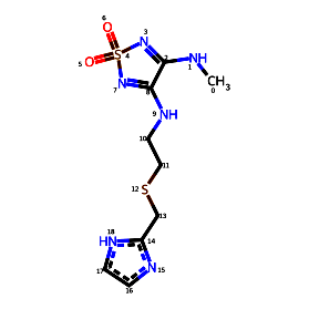 CNC1=NS(=O)(=O)N=C1NCCSCc1ncc[nH]1